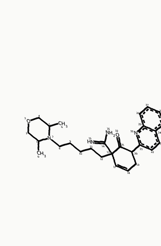 CC1COCC(C)N1CCCCCC1(C(=N)N)C=CCC(c2ccc3ccccc3n2)C1=O